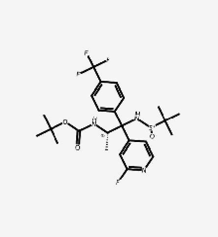 C[C@H](NC(=O)OC(C)(C)C)C(N[S+]([O-])C(C)(C)C)(c1ccc(C(F)(F)F)cc1)c1ccnc(F)c1